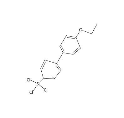 CCOc1ccc(-c2ccc([Si](Cl)(Cl)Cl)cc2)cc1